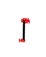 O=C(O)C(O)CCCCCCCCCCCCCCCCCCCCO